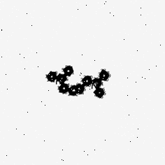 c1ccc(-c2cc(-c3ccccc3)nc(-c3cccc(-c4ccc5ccc(-c6cccc(-c7cc(-c8ccccc8)cc(-c8ccccc8)n7)c6)cc5c4)c3)c2)cc1